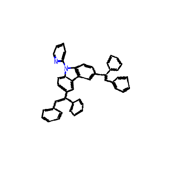 C(=C(c1ccccc1)c1ccc2c(c1)c1cc(C(=Cc3ccccc3)c3ccccc3)ccc1n2-c1ccccn1)c1ccccc1